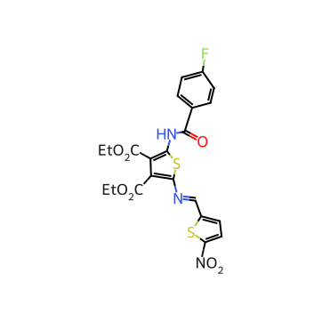 CCOC(=O)c1c(N=Cc2ccc([N+](=O)[O-])s2)sc(NC(=O)c2ccc(F)cc2)c1C(=O)OCC